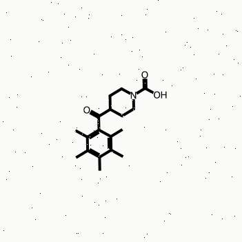 Cc1c(C)c(C)c(C(=O)C2CCN(C(=O)O)CC2)c(C)c1C